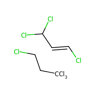 ClC=CC(Cl)Cl.ClCCC(Cl)(Cl)Cl